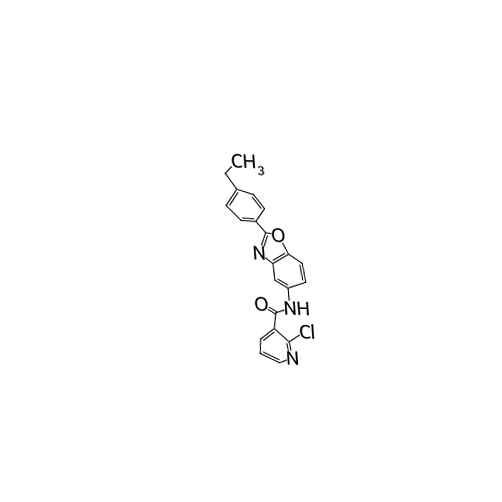 CCc1ccc(-c2nc3cc(NC(=O)c4cccnc4Cl)ccc3o2)cc1